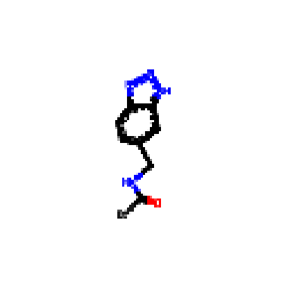 CCC(=O)NCc1ccc2nn[nH]c2c1